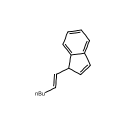 CCCCC=CC1C=Cc2ccccc21